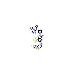 C[C@@H]1CN(Cc2cc3c(c(C(F)(F)F)c2)CN(c2cccc([C@H](c4nncn4C)C4CCC4)c2)C3=O)CCC1(F)F